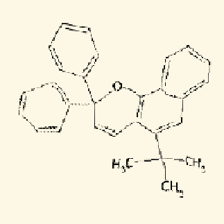 CC(C)(C)c1cc2ccccc2c2c1C=CC(c1ccccc1)(c1ccccc1)O2